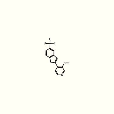 CSc1cnccc1C1=Nc2cc(C(F)(F)F)ccc2C1